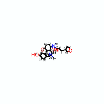 CN(C(=O)/C=C/c1ccoc1)C1CCC2Oc3c(O)ccc4c3[C@@]23CCN(C)[C@H](C4)[C@]13O